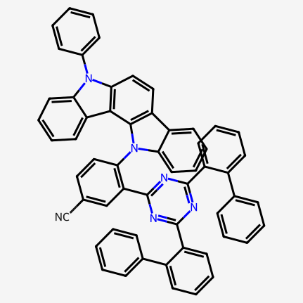 N#Cc1ccc(-n2c3ccccc3c3ccc4c(c5ccccc5n4-c4ccccc4)c32)c(-c2nc(-c3ccccc3-c3ccccc3)nc(-c3ccccc3-c3ccccc3)n2)c1